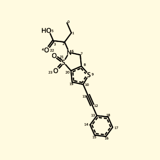 CCC(C(=O)O)N1Cc2sc(C#Cc3ccccc3)cc2S1(=O)=O